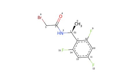 C[C@H](NC(=O)CBr)c1c(F)cc(F)cc1F